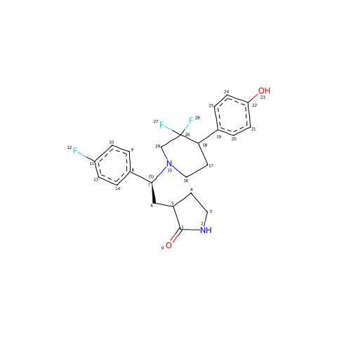 O=C1NCCC1C[C@@H](c1ccc(F)cc1)N1CCC(c2ccc(O)cc2)C(F)(F)C1